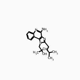 CC(C)CCc1nc2c(N)nc3ccccc3c2n1CC(C)(C)O